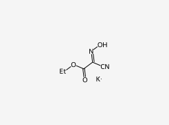 CCOC(=O)C(C#N)=NO.[K]